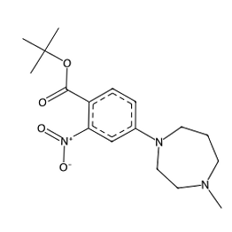 CN1CCCN(c2ccc(C(=O)OC(C)(C)C)c([N+](=O)[O-])c2)CC1